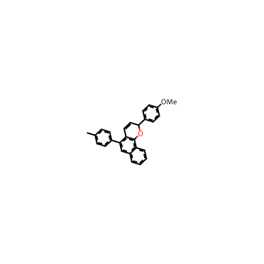 COc1ccc(C2C=Cc3c(-c4ccc(C)cc4)cc4ccccc4c3O2)cc1